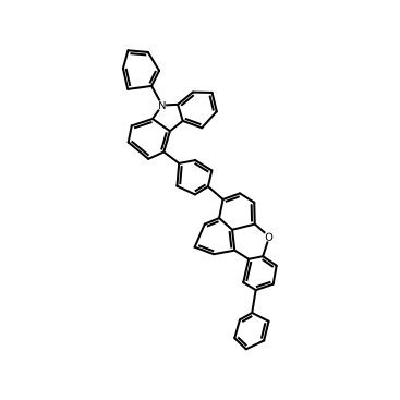 c1ccc(-c2ccc3c(c2)-c2cccc4c(-c5ccc(-c6cccc7c6c6ccccc6n7-c6ccccc6)cc5)ccc(c24)O3)cc1